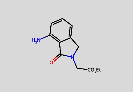 CCOC(=O)CN1Cc2cccc(N)c2C1=O